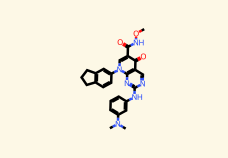 CONC(=O)c1cn(-c2ccc3c(c2)CCC3)c2nc(Nc3cccc(N(C)C)c3)ncc2c1=O